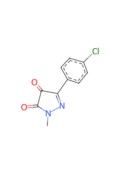 CN1N=C(c2ccc(Cl)cc2)C(=O)C1=O